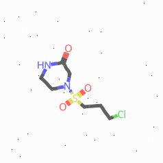 O=C1CN(S(=O)(=O)CCCCl)CCN1